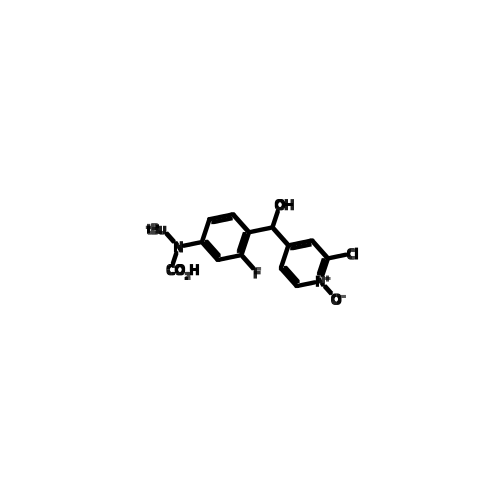 CC(C)(C)N(C(=O)O)c1ccc(C(O)c2cc[n+]([O-])c(Cl)c2)c(F)c1